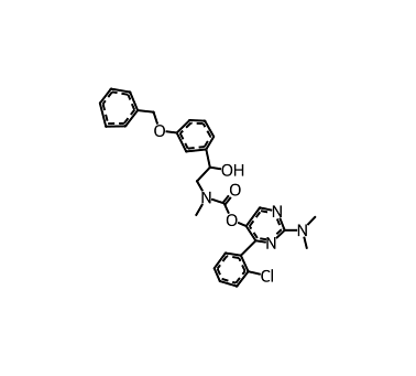 CN(CC(O)c1cccc(OCc2ccccc2)c1)C(=O)Oc1cnc(N(C)C)nc1-c1ccccc1Cl